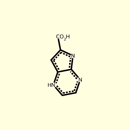 O=C(O)c1cc2[nH]ccnc-2n1